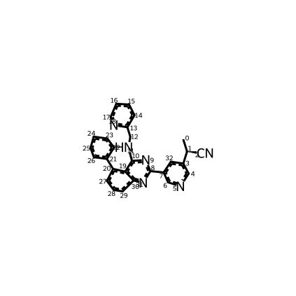 C[C@@H](C#N)c1cncc(-c2nc(NCc3ccccn3)c3c(-c4ccccc4)cccc3n2)c1